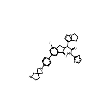 O=C(Nc1nccs1)C(c1ncn2c1CCC2)N1Cc2c(F)cc(-c3ccc(N4CC5(CCNC5)C4)cc3)cc2C1=O